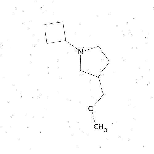 COCC1CCN(C2CCC2)C1